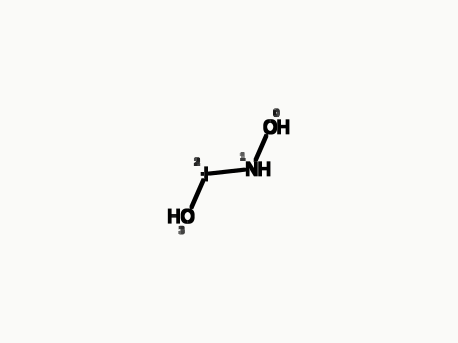 ON[I]O